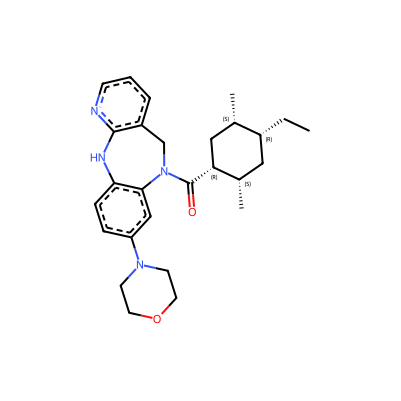 CC[C@@H]1C[C@H](C)[C@H](C(=O)N2Cc3cccnc3Nc3ccc(N4CCOCC4)cc32)C[C@@H]1C